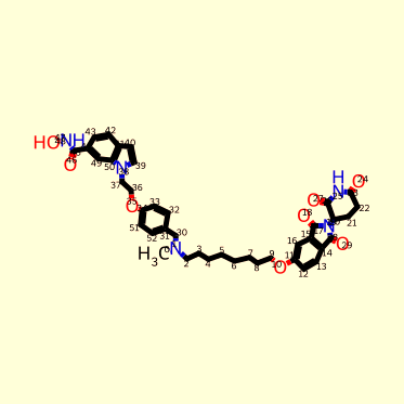 CN(CCCCCCCCOc1ccc2c(c1)C(=O)N(C1CCC(=O)NC1=O)C2=O)Cc1ccc(OCCn2ccc3ccc(C(=O)NO)cc32)cc1